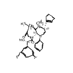 C[C@H](N)C(=O)N(C(=O)[C@@H](O)c1cc(F)cc(F)c1)[C@@H]1C(=O)N(C)[C@H](c2ccccc2)C=C[C@H]1c1ccccc1